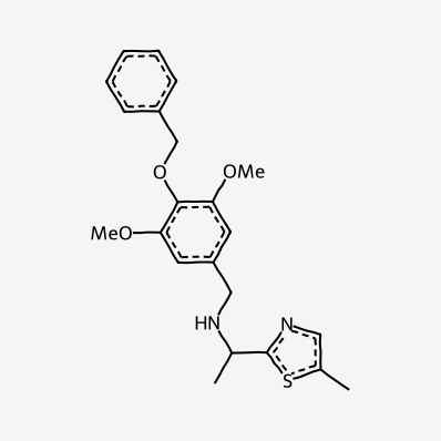 COc1cc(CNC(C)c2ncc(C)s2)cc(OC)c1OCc1ccccc1